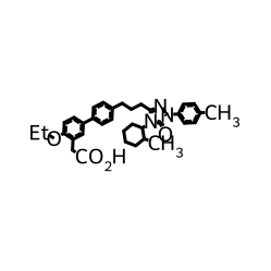 CCOc1ccc(-c2ccc(CCCc3nn(-c4ccc(C)cc4)c(=O)n3C3CCCCC3C)cc2)cc1CC(=O)O